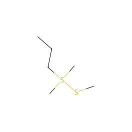 CCCS(C)(C)SC